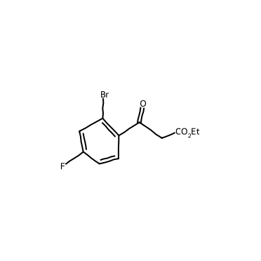 CCOC(=O)CC(=O)c1ccc(F)cc1Br